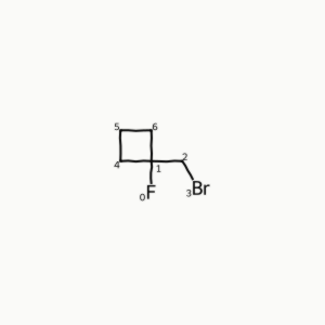 FC1(CBr)CCC1